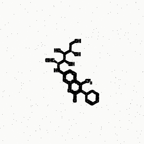 O=C[C@@H](Nc1ccc2c(C(F)(F)F)c(C3C=CC=CC3)c(=O)oc2c1)[C@H](O)[C@@H](O)[C@@H](O)CO